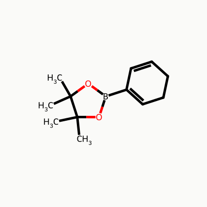 CC1(C)OB(C2=CCCC=C2)OC1(C)C